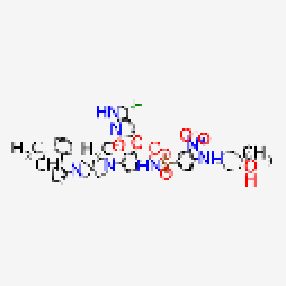 COc1nc2[nH]cc(F)c2cc1Oc1cc(N2CCC3(CC2)CN([C@H]2CCC[C@H]2c2ccccc2C(C)C)C3)ccc1C(=O)NS(=O)(=O)c1ccc(NC[C@H]2CC[C@](C)(O)CC2)c([N+](=O)[O-])c1